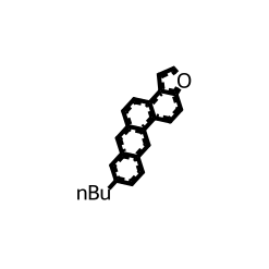 CCCCc1ccc2cc3c(ccc4c5ccoc5ccc34)cc2c1